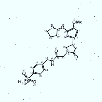 COc1ccc([C@@H]2CC(=O)N(CC(=O)NCc3ccc(S(C)(=O)=O)cc3)C2)cc1OC1CCCO1